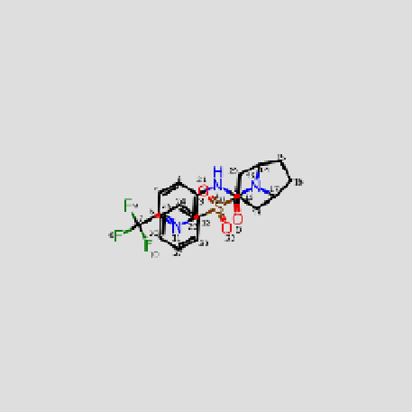 O=C(Nc1ccc(C(F)(F)F)nc1)N1C2CCC1CC(S(=O)(=O)c1ccccc1)C2